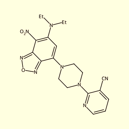 CCN(CC)c1cc(N2CCN(c3ncccc3C#N)CC2)c2nonc2c1[N+](=O)[O-]